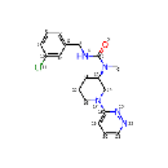 CN(C(=O)NCc1cccc(Cl)c1)[C@@H]1CCCN(c2cccnn2)C1